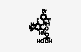 CC(O)(CO)ONC(=O)c1cc2snnc2c(F)c1Nc1ccc(Br)cc1F